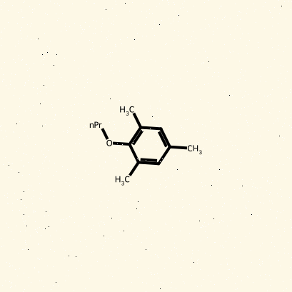 [CH2]CCOc1c(C)cc(C)cc1C